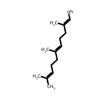 CCC/C=C(\C)CC/C=C(\C)CCC=C(C)C